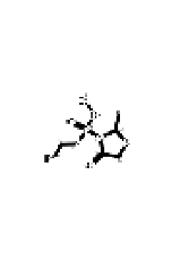 CCOP(=O)(SCC(C)C)N1C(=O)CSC1C